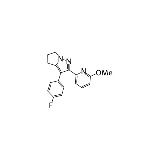 COc1cccc(-c2nn3c(c2-c2ccc(F)cc2)CCC3)n1